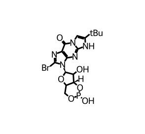 CC(C)(C)c1cn2c(=O)c3nc(Br)n([C@@H]4OC5COP(O)O[C@H]5C4O)c3nc2[nH]1